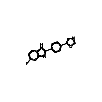 Ic1ccc2[nH]c(-c3ccc(-c4cnco4)cc3)nc2c1